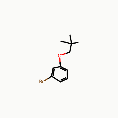 CC(C)(C)COc1cccc(Br)c1